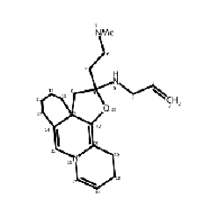 C=CCNC1(CCNC)CC23CCCCC2=CN2C=CCCC2=C3O1